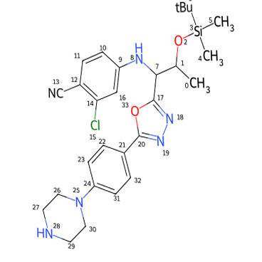 CC(O[Si](C)(C)C(C)(C)C)C(Nc1ccc(C#N)c(Cl)c1)c1nnc(-c2ccc(N3CCNCC3)cc2)o1